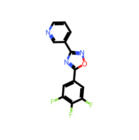 Fc1cc(-c2nc(-c3cccnc3)no2)cc(F)c1F